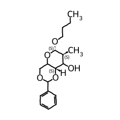 CCCCO[C@H]1OC2COC(c3ccccc3)O[C@H]2C(O)[C@@H]1C